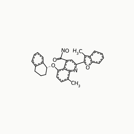 Cc1c(-c2cc(C(=O)N=O)c3c(O[C@@H]4CCCc5ccccc54)ccc(C)c3n2)oc2ccccc12